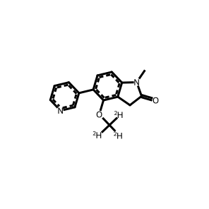 [2H]C([2H])([2H])Oc1c(-c2cccnc2)ccc2c1CC(=O)N2C